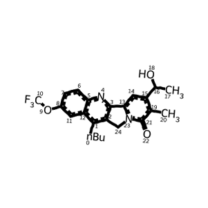 CCCCc1c2c(nc3ccc(OC(F)(F)F)cc13)-c1cc(C(C)O)c(C)c(=O)n1C2